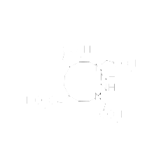 O=C(O)CC1CCC(CC(=O)O)CCN(CC(=O)O)NNN(CC(=O)O)CC1